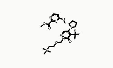 COC(=O)c1nccc(OC[C@@H]2CCCN2c2cnn(COCC[Si](C)(C)C)c(=O)c2C(F)(F)F)n1